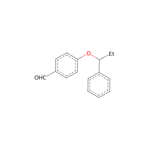 CCC(Oc1ccc(C=O)cc1)c1ccccc1